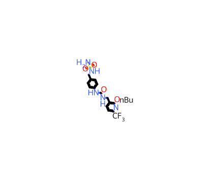 CCCCOc1nc(C(F)(F)F)ccc1CNC(=O)Nc1ccc(CNS(N)(=O)=O)cc1